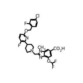 Cn1c(CN2CCC(c3nc(OCc4ccc(Cl)cc4F)ccc3F)CC2)nc2c(OC(F)F)cc(C(=O)O)cc21